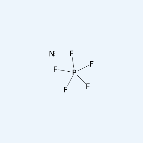 FP(F)(F)(F)F.[N]